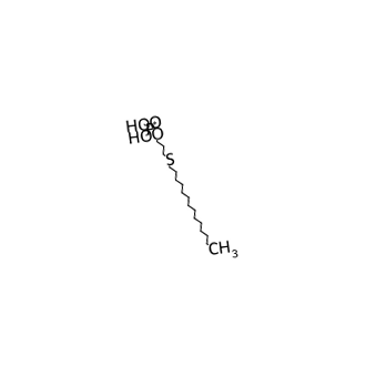 CCCCCCCCCCCCCCSCCCOP(=O)(O)O